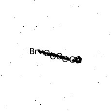 BrCCCCOCCOCCOCCOCCOCc1ccccc1